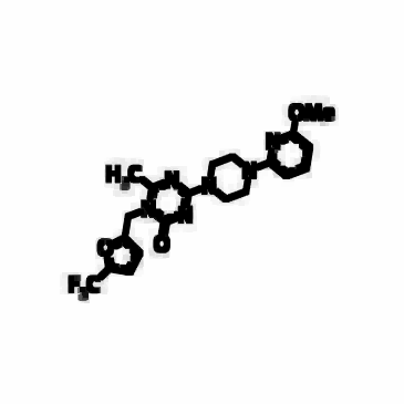 COc1cccc(N2CCN(c3nc(C)n(Cc4ccc(C(F)(F)F)o4)c(=O)n3)CC2)n1